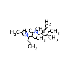 C=C/C=C(\C=C(\C)CC)CN(C)C(=C)/C(CC)=C(/CCC)N1C=C(C)CC1